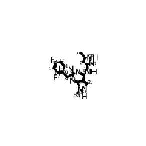 Cc1cc(NC2=NC(N)(Cc3ccc(F)cc3F)N=C3C2=CNN3C)n[nH]1